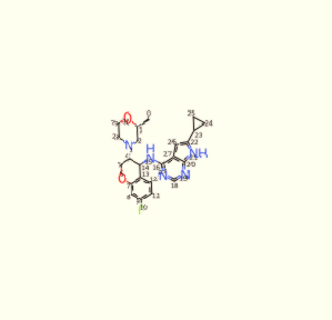 C[C@H]1CN([C@H]2COc3cc(F)ccc3[C@@H]2Nc2ncnc3[nH]c(C4CC4)cc23)CCO1